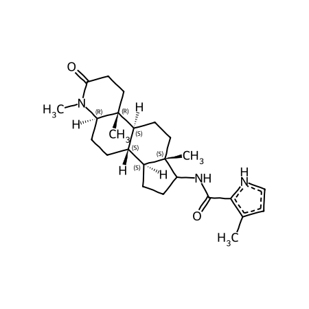 Cc1cc[nH]c1C(=O)NC1CC[C@H]2[C@@H]3CC[C@H]4N(C)C(=O)CC[C@]4(C)[C@H]3CC[C@]12C